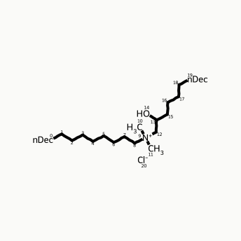 CCCCCCCCCCCCCCCCCC[N+](C)(C)CC(O)CCCCCCCCCCCCCC.[Cl-]